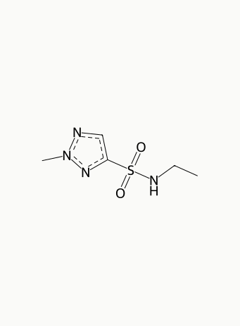 CCNS(=O)(=O)c1cnn(C)n1